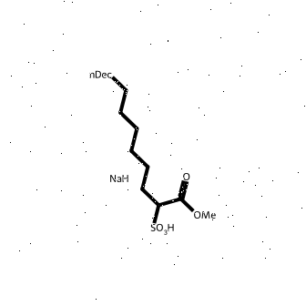 CCCCCCCCCCCCCCCCC(C(=O)OC)S(=O)(=O)O.[NaH]